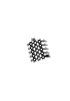 CCCCc1ccc(C2CC=C(c3ccc([S])cc3)CC2)cc1.CCCCc1ccc(C2CC=C(c3ccc([S])cc3)CC2)cc1.CCCCc1ccc(C2CC=C(c3ccc([S])cc3)CC2)cc1.CCCCc1ccc(C2CC=C(c3ccc([S])cc3)CC2)cc1.CCCCc1ccc(C2CC=C(c3ccc([S])cc3)CC2)cc1.F.F.F.F.F